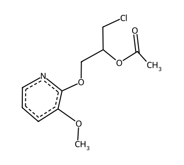 COc1cccnc1OCC(CCl)OC(C)=O